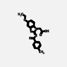 CCOc1ccc2c(c1)s/c(=N\C(=O)c1ccc(C)cc1)n2CC(=O)O